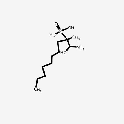 CCCCCCCCC(C)(C(N)O)P(=O)(O)O